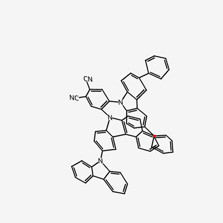 N#Cc1cc(-n2c3ccc(-c4ccccc4)cc3c3cc(-c4ccccc4)ccc32)c(-n2c3ccc(-n4c5ccccc5c5ccccc54)cc3c3c4ccccc4ccc32)cc1C#N